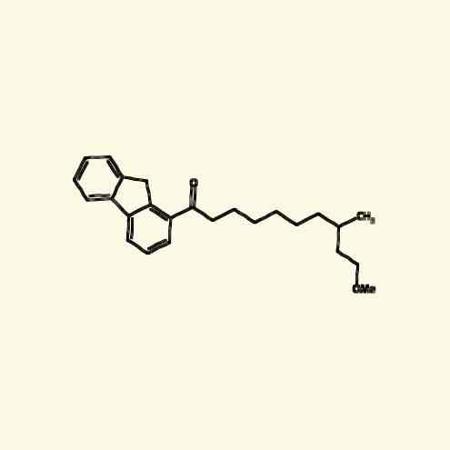 COCCC(C)CCCCCCC(=O)c1cccc2c1Cc1ccccc1-2